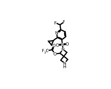 O=C(OC1N(S(=O)(=O)c2ccc(C(F)F)nc2C2CC2)CC12CNC2)C(F)(F)F